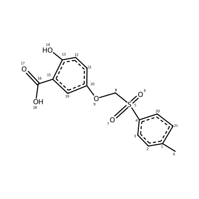 Cc1ccc(S(=O)(=O)COc2ccc(O)c(C(=O)O)c2)cc1